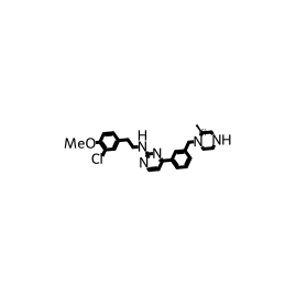 COc1ccc(CCNc2nccc(-c3cccc(CN4CCNC[C@@H]4C)c3)n2)cc1Cl